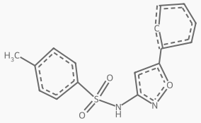 Cc1ccc(S(=O)(=O)Nc2cc(-c3ccccc3)on2)cc1